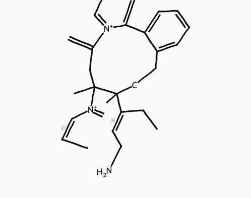 C=C1CC(C)([N+](=C)/C=C\C)C(C)(/C(=C/CN)CC)CCc2ccccc2-c2cccc[n+]21